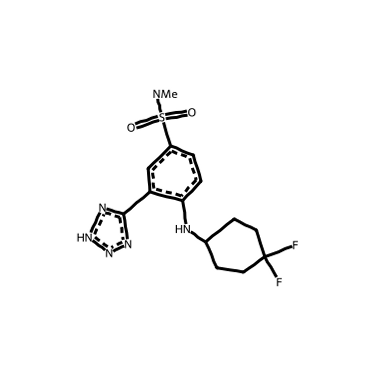 CNS(=O)(=O)c1ccc(NC2CCC(F)(F)CC2)c(-c2nn[nH]n2)c1